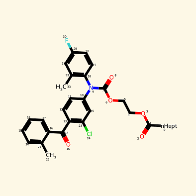 CCCCCCCC(=O)OCCOC(=O)N(c1ccc(C(=O)c2ccccc2C)c(Cl)c1)c1ccc(F)cc1C